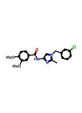 COc1ccc(C(=O)Nc2cn(Cc3cccc(Cl)c3)c(C)n2)cc1OC